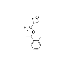 Cc1ccccc1C(C)O[SiH2]C1COC1